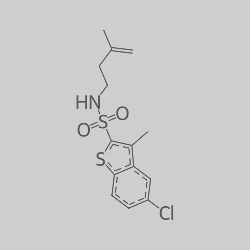 C=C(C)CCNS(=O)(=O)c1sc2ccc(Cl)cc2c1C